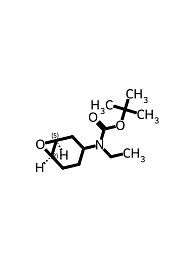 CCN(C(=O)OC(C)(C)C)C1CC[C@H]2O[C@H]2C1